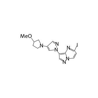 COC1CCN(c2cnn(-c3cnn4ccc(I)nc34)c2)C1